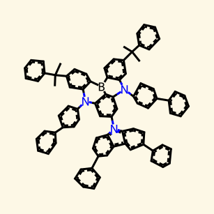 CC(C)(c1ccccc1)c1ccc2c(c1)N(c1ccc(-c3ccccc3)cc1)c1cc(-n3c4ccc(-c5ccccc5)cc4c4cc(-c5ccccc5)ccc43)cc3c1B2c1ccc(C(C)(C)c2ccccc2)cc1N3c1ccc(-c2ccccc2)cc1